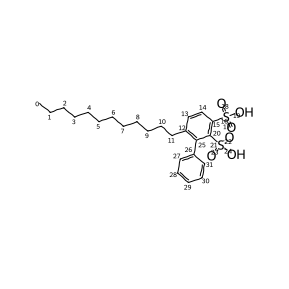 CCCCCCCCCCCCc1ccc(S(=O)(=O)O)c(S(=O)(=O)O)c1-c1ccccc1